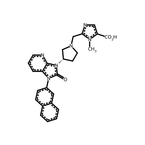 Cn1c(C(=O)O)cnc1CN1CC[C@H](n2c(=O)n(-c3ccc4ccccc4c3)c3cccnc32)C1